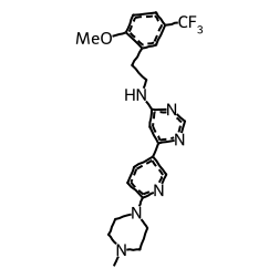 COc1ccc(C(F)(F)F)cc1CCNc1cc(-c2ccc(N3CCN(C)CC3)nc2)ncn1